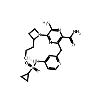 CCCC1CCN1c1nc(Cc2cc(NS(=O)(=O)C3CC3)ccn2)c(C(N)=O)nc1C